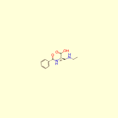 CCNC[C@@H](NC(=O)c1ccccc1)C(=O)O